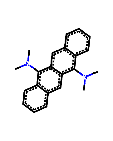 CN(C)c1c2ccccc2cc2c(N(C)C)c3ccccc3cc12